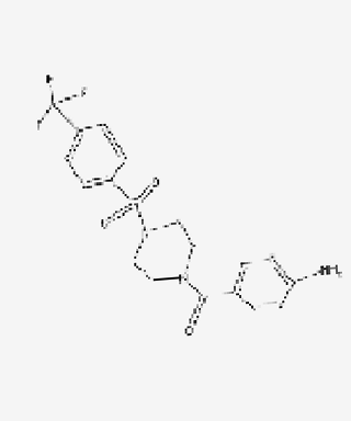 Nc1ccc(C(=O)N2CCN(S(=O)(=O)c3ccc(C(F)(F)F)cc3)CC2)cn1